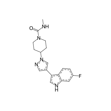 CNC(=O)N1CCC(n2cc(-c3c[nH]c4cc(F)ccc34)cn2)CC1